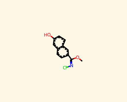 CO/C(=N/Cl)c1ccc2cc(O)ccc2c1